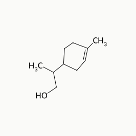 CC1=CCC(C(C)CO)CC1